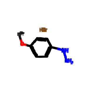 Br.CCCOc1ccc(NN)cc1